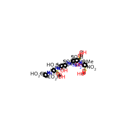 COc1cc([N+](=O)[O-])c(SOOO)cc1N=Nc1c(SOOO)cc2c(S(=O)(=O)O)cc(N=Nc3ccc4c(O)c(N=Nc5ccc(N=Nc6cc(C(=O)O)ccc6C(=O)O)cc5SOOO)c(S(=O)(=O)O)cc4c3S(=O)(=O)O)c(N)c2c1O